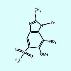 COc1c(S(C)(=O)=O)cc2nc(C)n(C(C)C)c2c1[N+](=O)[O-]